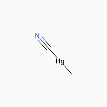 [CH3][Hg][C]#N